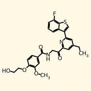 CCc1cc(C(=O)CNC(=O)c2ccc(OCCO)c(OC)c2)nc(-c2csc3c(F)cccc23)c1